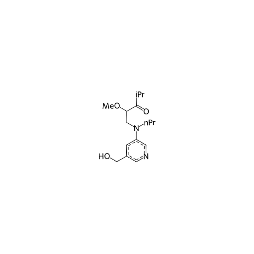 [CH2]CCN(CC(OC)C(=O)C(C)C)c1cncc(CO)c1